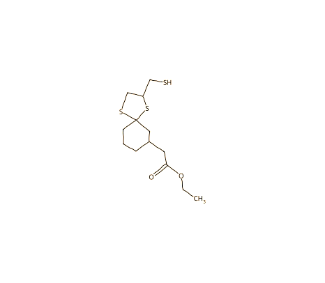 CCOC(=O)CC1CCCC2(C1)SCC(CS)S2